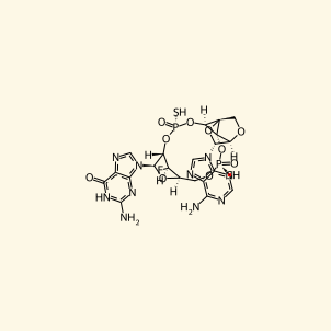 Nc1nc2c(ncn2[C@@H]2O[C@@H]3CO[P@](=O)(S)O[C@]45[C@@H](O[P@@](=O)(S)O[C@@H]2[C@@H]3F)[C@]42CO[C@H]5[C@H](n3cnc4c(N)ncnc43)O2)c(=O)[nH]1